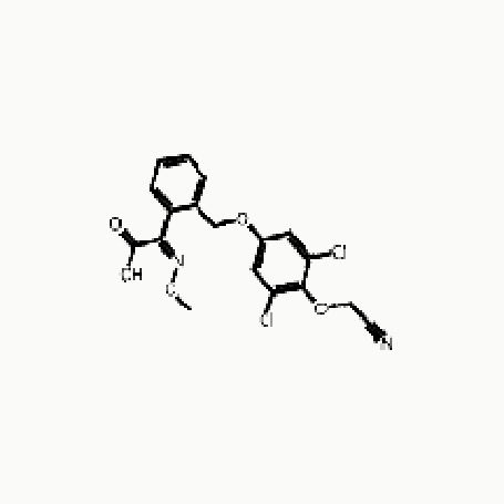 CON=C(C(=O)O)c1ccccc1COc1cc(Cl)c(OCC#N)c(Cl)c1